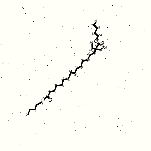 CCCCCOC(=O)CCCCCCCCCCCCCCC(CC)(CC)C(=O)OCCCCC